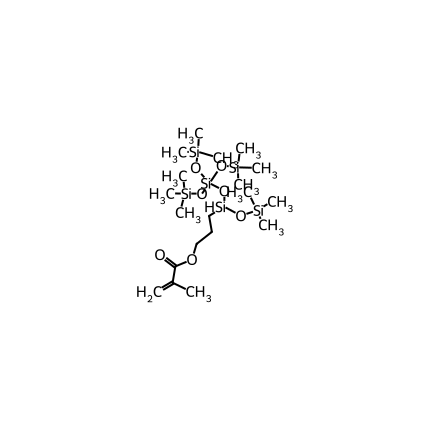 C=C(C)C(=O)OCCC[SiH](O[Si](C)(C)C)O[Si](O[Si](C)(C)C)(O[Si](C)(C)C)O[Si](C)(C)C